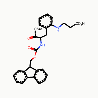 COC(=O)C(Cc1ccccc1NCCC(=O)O)NC(=O)OCC1c2ccccc2-c2ccccc21